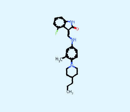 CCCC1CCN(c2ccc(NC=C3C(=O)Nc4cccc(F)c43)cc2C)CC1